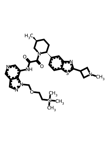 C[C@H]1CC[C@H](c2ccc3sc(C4CN(C)C4)nc3c2)N(C(=O)C(=O)Nc2cncc3cnn(COCC[Si](C)(C)C)c23)C1